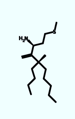 C=C([C@@H](N)CCSC)[C@@](C)(CCCC)CCCCC